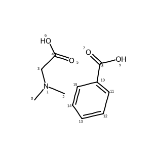 CN(C)CC(=O)O.O=C(O)c1ccccc1